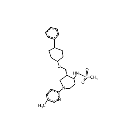 Cc1ccc(N2CCC(NS(C)(=O)=O)[C@H](COC3CCC(c4ccccc4)CC3)C2)nc1